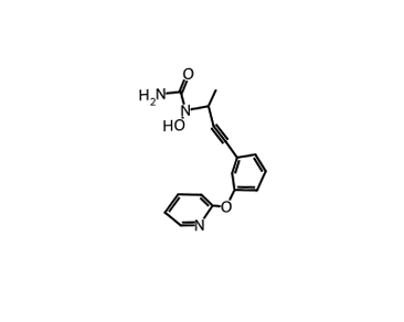 CC(C#Cc1cccc(Oc2ccccn2)c1)N(O)C(N)=O